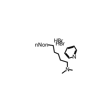 Br.Br.CCCCCCCCCCCCCCN(C)C.c1ccncc1